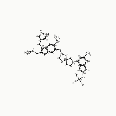 C=NCc1cc2cc(CN3CCC4(CCN(c5nc(C)nc6nn(CC(F)(F)F)cc56)C4)C3)c(OC)cc2n1Cc1cn[nH]c1